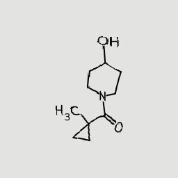 CC1(C(=O)N2CCC(O)CC2)CC1